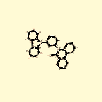 O=c1c2ccccc2c2ccccc2n1-c1cccc(-n2c3ccccc3c3ccccc32)c1